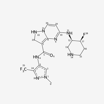 Cn1cc(NC(=O)C2=C3N=C(N[C@@H]4CNCC[C@@H]4F)C=CN3NC2)c(C(F)(F)F)n1